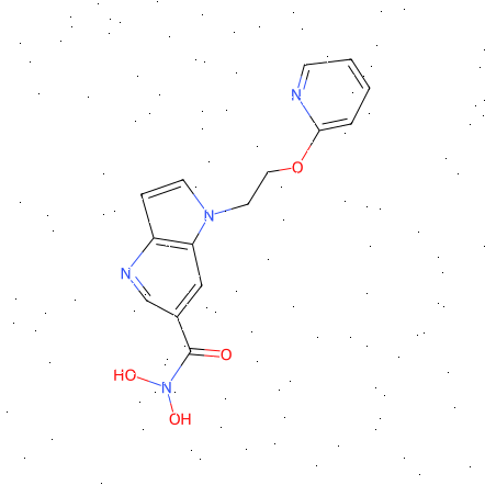 O=C(c1cnc2ccn(CCOc3ccccn3)c2c1)N(O)O